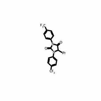 CC(C)C1C(=O)N(c2ccc(C(F)(F)F)cc2)C(=O)N1c1ccc(C(F)(F)F)cc1